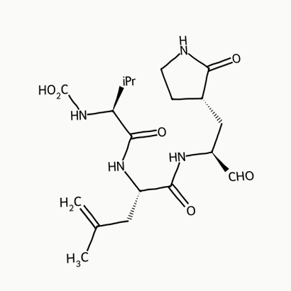 C=C(C)C[C@H](NC(=O)[C@@H](NC(=O)O)C(C)C)C(=O)N[C@H](C=O)C[C@@H]1CCNC1=O